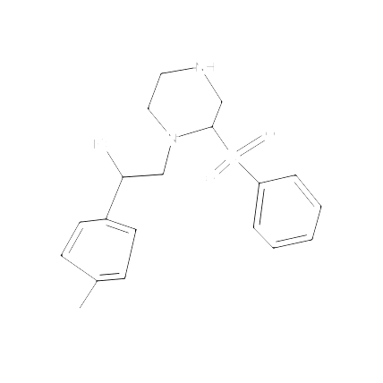 O=S(=O)(c1ccccc1)C1CNCCN1CC(O)c1ccc(F)cc1